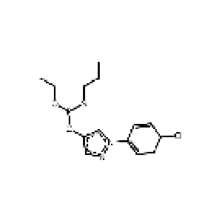 CCCSP(OCC)Oc1cnn(C2=CCC(Cl)C=C2)c1